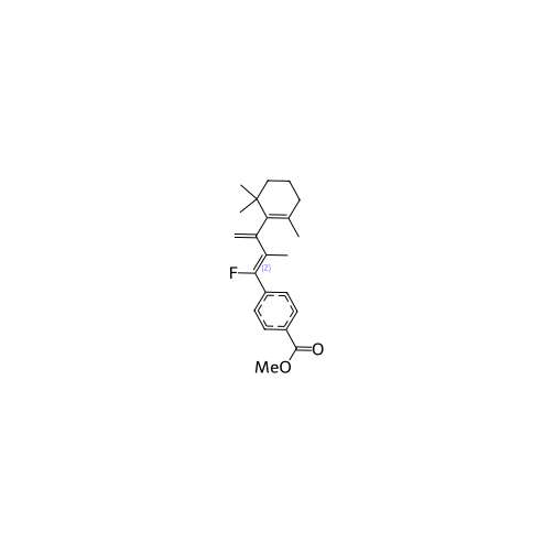 C=C(C1=C(C)CCCC1(C)C)/C(C)=C(\F)c1ccc(C(=O)OC)cc1